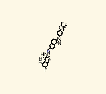 Fc1cc(F)c(NC(=S)N/N=C/c2ccc3c(ccc4c3ncn4-c3ccc(OC(F)(F)F)cc3)c2)c(F)c1